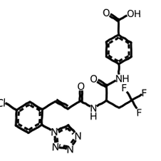 O=C(C=Cc1cc(Cl)ccc1-n1cnnn1)NC(CC(F)(F)F)C(=O)Nc1ccc(C(=O)O)cc1